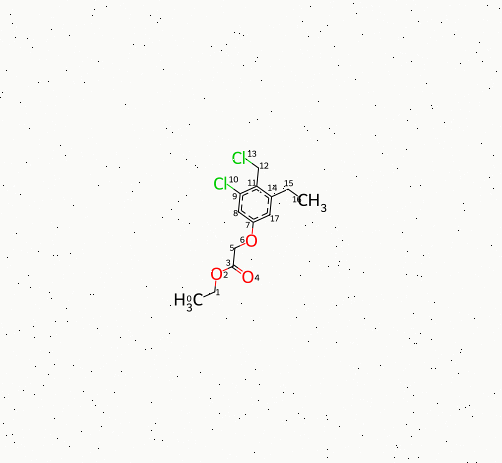 CCOC(=O)COc1cc(Cl)c(CCl)c(CC)c1